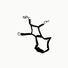 CCCC1C(=O)C2C=CC=CC2C1O